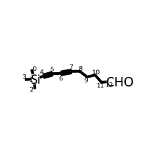 C[Si](C)(C)C#CC#CCCCCC=O